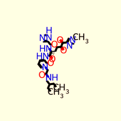 CCC(CC)CNC(=O)Cn1cccc(NC(=O)[C@H](CCC(=O)C(=O)c2cn(C)cn2)NC(=O)c2cnc[nH]2)c1=O